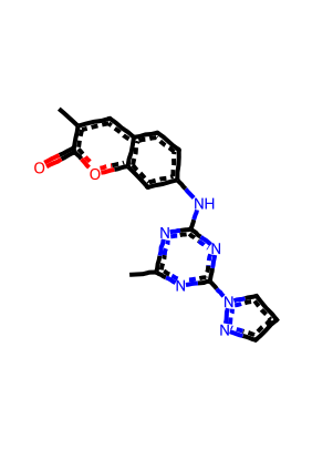 Cc1nc(Nc2ccc3cc(C)c(=O)oc3c2)nc(-n2cccn2)n1